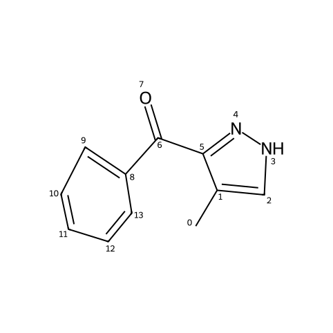 Cc1c[nH]nc1C(=O)c1ccccc1